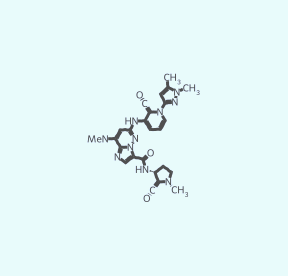 CNc1cc(NC2=CC=CN(c3cc(C)n(C)n3)C2=C=O)nn2c(C(=O)N[C@@H]3CCN(C)C3=C=O)cnc12